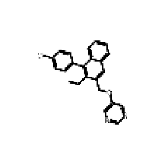 CCc1c(COc2cncnc2)cc2ccccc2c1-c1ccc(Cl)cc1